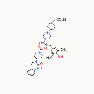 CCOC(=O)CN1CCC(N2CCN(C(=O)[C@@H](Cc3cc(C)c(O)c(C)c3)OC(=O)N3CCC(N4CCc5ccccc5NC4=O)CC3)CC2)CC1